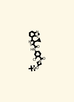 CC(C)(C)[Si](C)(C)OC1CN(C(=O)c2ccc(NC(=O)c3snc(-c4cccc5ncsc45)c3C3CC3)cc2Cl)C1